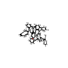 C1=CCCC(c2nc(-c3ccccc3)nc(-n3c4ccccc4c4ccc5c(c6cccc7c6n5-c5ccccc5N7c5ccccc5)c43)n2)=C1